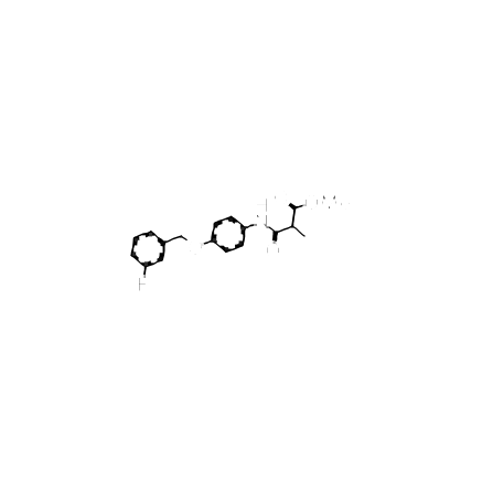 COC(=O)C(C)C(=O)Nc1ccc(OCc2cccc(F)c2)cc1